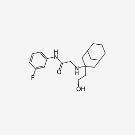 O=C(CNC1(CCO)CC2CCCC(C2)C1)Nc1cccc(F)c1